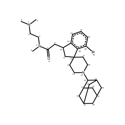 CN(C)CCN(C)C(=O)CC1CC2(CCN(C3C4CC5CC(C4)CC3C5)CC2)c2c(Br)cccc21